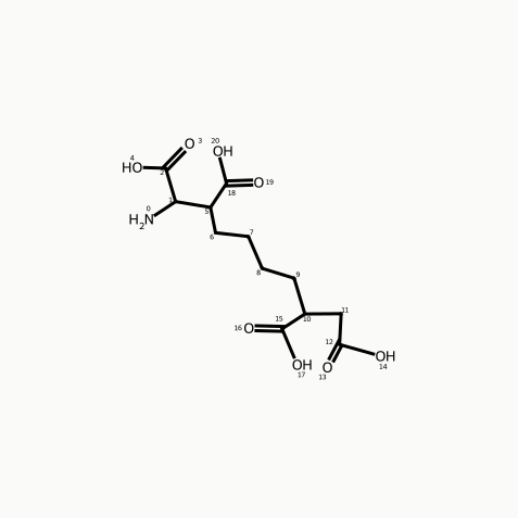 NC(C(=O)O)C(CCCCC(CC(=O)O)C(=O)O)C(=O)O